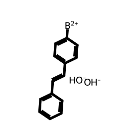 [B+2]c1ccc(/C=C/c2ccccc2)cc1.[OH-].[OH-]